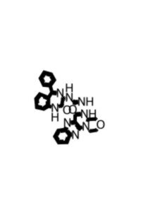 N=C(N[C@H]1N=C(c2ccccc2)c2ccccc2NC1=O)OC(=N)c1nc2ccccc2nc1N1CCOCC1